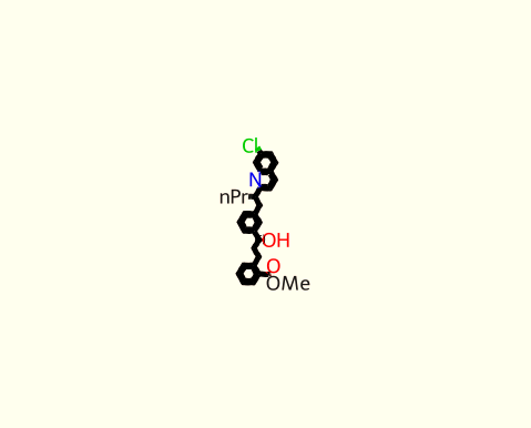 CCCC(Cc1cccc([C@@H](O)CCc2ccccc2C(=O)OC)c1)c1ccc2ccc(Cl)cc2n1